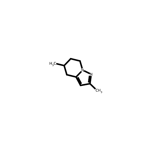 Cc1cc2n(n1)CCC(C)C2